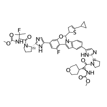 COC(=O)NC(C(=O)N1CCC[C@H]1c1ncc(-c2cc(F)c3c(c2)OC(C2CC=C(C4CC4)S2)n2c-3cc3cc(-c4cnc([C@@H]5CCCN5C(=O)[C@@H](NC(=O)OC)C5CCOCC5)[nH]4)ccc32)[nH]1)C(C)(C)F